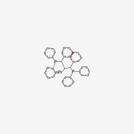 CCCC(C(c1ccccc1)P(c1ccccc1)c1ccccc1)C(c1ccccc1)P(c1ccccc1)c1ccccc1